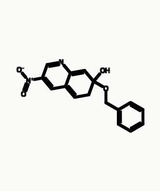 O=[N+]([O-])c1cnc2c(c1)=CCC(O)(OCc1ccccc1)C=2